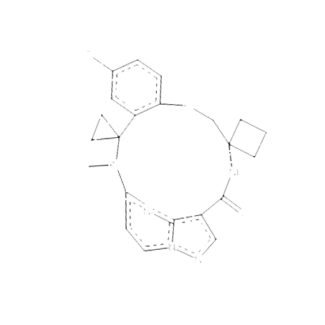 CN1c2ccn3ncc(c3n2)C(=O)NC2(CCC2)COc2ccc(F)cc2C12CC2